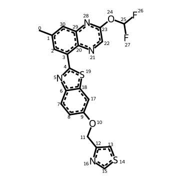 Cc1cc(-c2nc3ccc(OCc4cscn4)cc3s2)c2ncc(OC(F)F)nc2c1